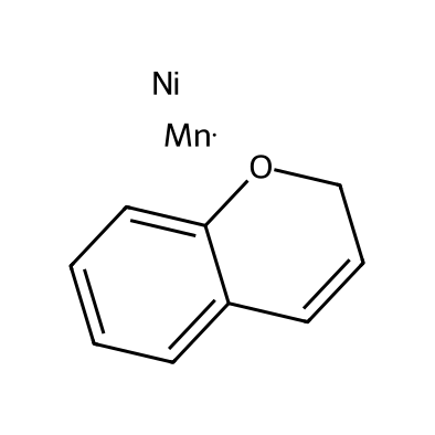 C1=Cc2ccccc2OC1.[Mn].[Ni]